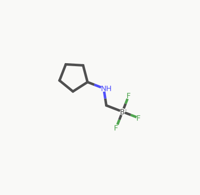 F[B-](F)(F)CNC1CCCC1